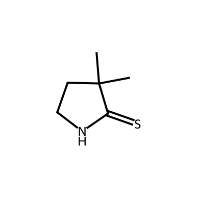 CC1(C)CCNC1=S